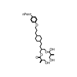 C=C(CO)C(=O)OCC(CCC1CCC(CCCOc2ccc(CCCCC)cc2)CC1)COC(O)C(=C)CO